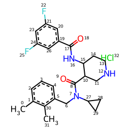 Cc1cccc(CN(C(=O)C2CNCCC2NC(=O)c2cc(F)cc(F)c2)C2CC2)c1C.Cl